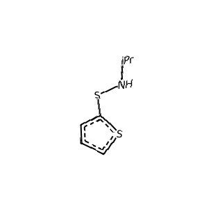 CC(C)NSc1cccs1